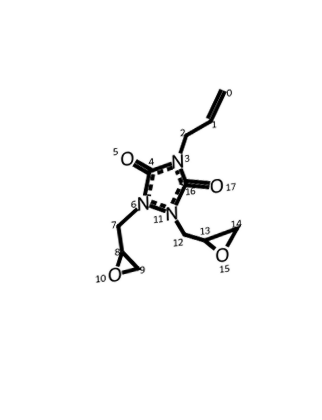 C=CCn1c(=O)n(CC2CO2)n(CC2CO2)c1=O